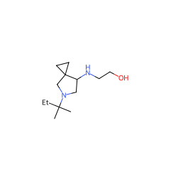 CCC(C)(C)N1CC(NCCO)C2(CC2)C1